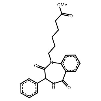 COC(=O)CCCCCN1C(=O)C(c2ccccc2)NC(=O)c2ccccc21